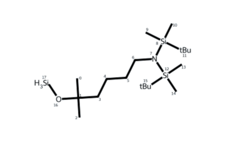 CC(C)(CCCCN([Si](C)(C)C(C)(C)C)[Si](C)(C)C(C)(C)C)O[SiH3]